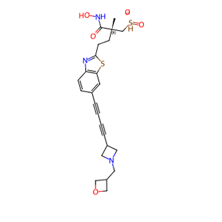 C[C@](CCc1nc2ccc(C#CC#CC3CN(CC4COC4)C3)cc2s1)(C[SH](=O)=O)C(=O)NO